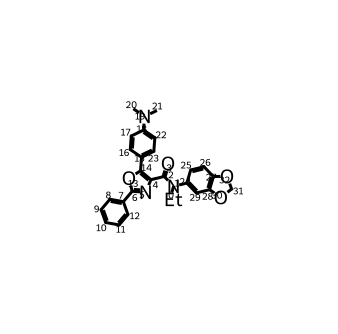 CCN(C(=O)c1nc(-c2ccccc2)oc1-c1ccc(N(C)C)cc1)c1ccc2c(c1)OCO2